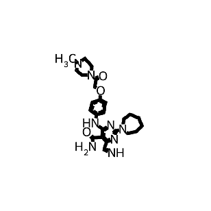 CN1CCN(C(=O)COc2ccc(Nc3nc(N4CCCCCC4)nc(C=N)c3C(N)=O)cc2)CC1